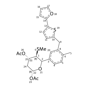 CS[C@H]1C(c2ccc(C)c(Cc3ccc(-c4ccco4)s3)c2)O[C@H](OC(C)=O)C[C@@H]1OC(C)=O